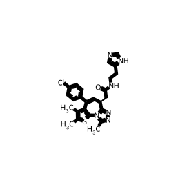 Cc1sc2c(c1C)C(c1ccc(Cl)cc1)=C[C@@H](CC(=O)NCCc1cnc[nH]1)c1nnc(C)n1-2